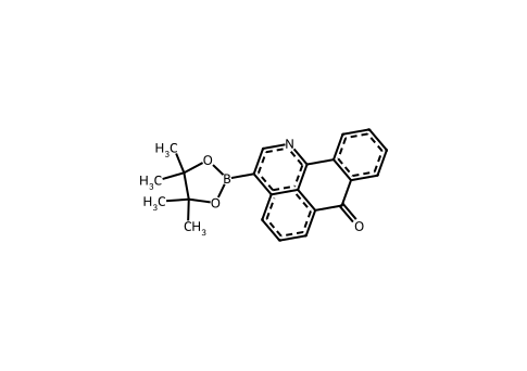 CC1(C)OB(c2cnc3c4c(cccc24)C(=O)c2ccccc2-3)OC1(C)C